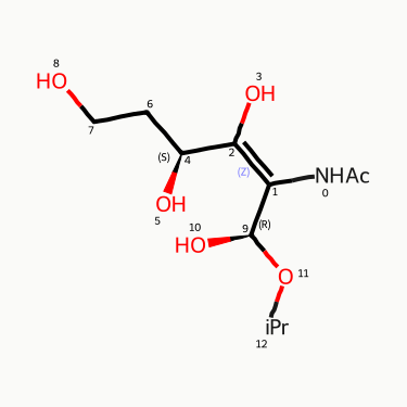 CC(=O)N/C(=C(\O)[C@@H](O)CCO)[C@H](O)OC(C)C